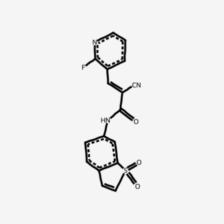 N#CC(=Cc1cccnc1F)C(=O)Nc1ccc2c(c1)S(=O)(=O)C=C2